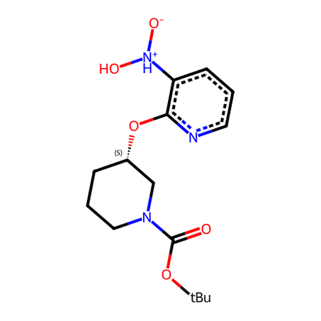 CC(C)(C)OC(=O)N1CCC[C@H](Oc2ncccc2[NH+]([O-])O)C1